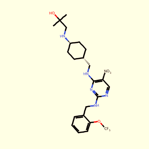 CC(C)(O)CN[C@H]1CC[C@H](CNc2nc(NCc3ccccc3OC(F)(F)F)ncc2[N+](=O)[O-])CC1